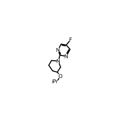 CC(C)OC1CCCN(c2ncc(F)cn2)C1